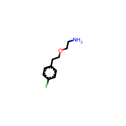 NCCOCCc1ccc(F)cc1